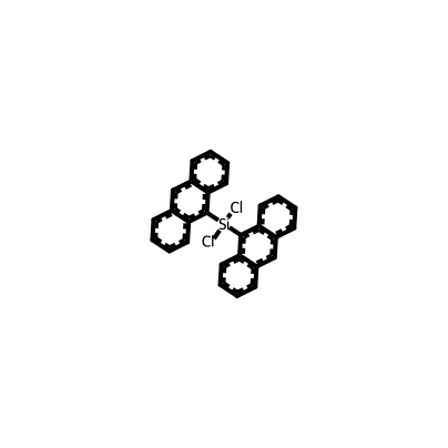 Cl[Si](Cl)(c1c2ccccc2cc2ccccc12)c1c2ccccc2cc2ccccc12